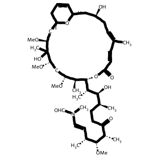 CO[C@H]([C@H](C)/C=C/N(C)C=O)[C@@H](C)C(=O)CC[C@H](C)[C@H](O)[C@H](C)[C@H]1OC(=O)/C=C/C(C)=C/C[C@H](O)C[C@@H]2C=CC[C@@H](C[C@H](OC)C(C)(O)[C@@H](OC)C[C@@H](OC)[C@@H]1C)O2